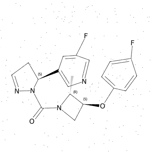 C[C@@H]1[C@@H](Oc2ccc(F)cc2)CN1C(=O)N1N=CC[C@H]1c1cncc(F)c1